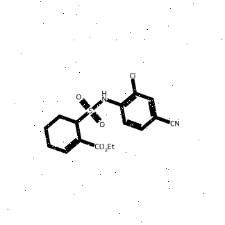 CCOC(=O)C1=CCCCC1S(=O)(=O)Nc1ccc(C#N)cc1Cl